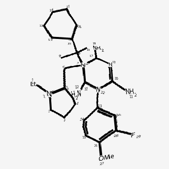 CCN1CCCC1C[N+]1(C(C)(C)C2CCCCC2)C(N)N=C(N)N(c2ccc(OC)c(F)c2)C1N